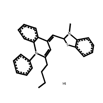 CCCCC1=CC(=CC2Sc3ccccc3N2C)c2ccccc2N1c1ccccc1.I